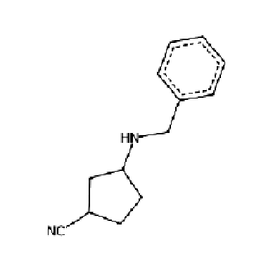 N#CC1CCC(NCc2ccccc2)C1